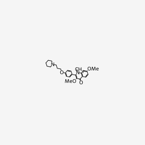 COc1ccc2c(=O)c(OC)c(-c3ccc(OCCCN4CCCCC4)cc3)n(C)c2c1